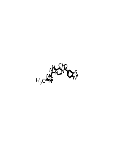 Cc1nsc(-c2nnc3n2CCN(C(=O)c2ccc4ncsc4c2)[C@@H]3C)n1